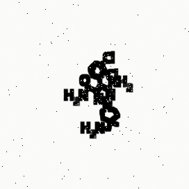 CC1(CN)CCN(c2nc(N)c(-c3cccc(Cl)c3Cl)c(C(N)=O)n2)CC1